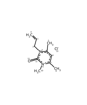 C=CCn1c(C)cc(C)[n+](C)c1=O.[Cl-]